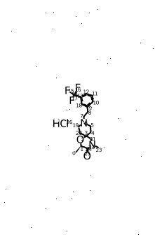 C[C@H]1OC2(CCN(CCc3cccc(C(F)(F)F)c3)CC2)CN(C)C1=O.Cl